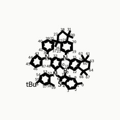 Cc1ccc2sc3c(c2c1)B1c2cc4c(cc2N(c2ccc5c(c2)C(C)(C)CCC5(C)C)c2cc(N(c5ccccc5)c5ccccc5)cc(c21)N3c1ccc(C(C)(C)C)cc1C)C(C)(C)CCC4(C)C